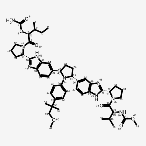 CCC(C)[C@H](OC(N)=O)C(=O)N1CCC[C@H]1c1nc2ccc([C@H]3CC[C@H](c4ccc5[nH]c([C@@H]6CCCN6C(=O)[C@@H](NC(=O)OC)C(C)C)nc5c4)N3c3ccc(C(C)(C)COC)cc3)cc2[nH]1